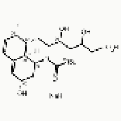 CC[C@H](C)C(=O)O[C@H]1C[C@H](O)C=C2C=C[C@H](C)[C@H](CC[C@@H](O)CC(O)CC(=O)O)[C@H]21.[NaH]